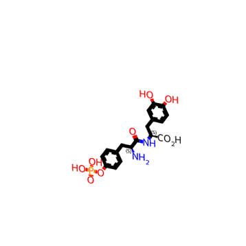 N[C@@H](Cc1ccc(OP(=O)(O)O)cc1)C(=O)N[C@@H](Cc1ccc(O)c(O)c1)C(=O)O